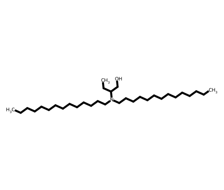 CCCCCCCCCCCCCCN(CCCCCCCCCCCCCC)C(CC)CO